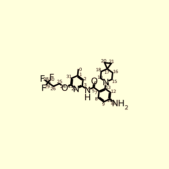 Cc1cc(NC(=O)c2ccc(N)cc2N2CCC3(CC2)CC3)nc(OCCC(F)(F)F)c1